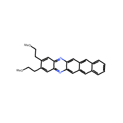 COCCc1cc2nc3cc4cc5ccccc5cc4cc3nc2cc1CCOC